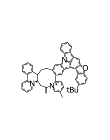 C=C1CC2C(CCc3cc4c(cc3-c3ccc(C)c[n+]31)c1c3c(cc5c6ccccc6n4c51)oc1ccc(C(C)(C)C)cc13)c1ccccc1-c1cccc[n+]12